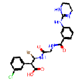 O=C(CNC(=O)c1cccc(NC2=NCCCN2)c1)NC(Br)C(C(=O)O)c1cccc(Cl)c1